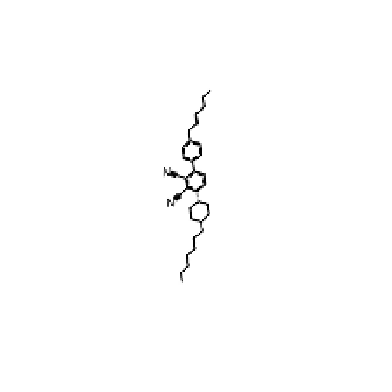 CCCCCCC[C@H]1CC[C@H](c2ccc(-c3ccc(CCCCCC)cc3)c(C#N)c2C#N)CC1